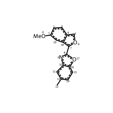 COc1ccc2coc(-c3nc4cc(C)ccc4o3)c2c1